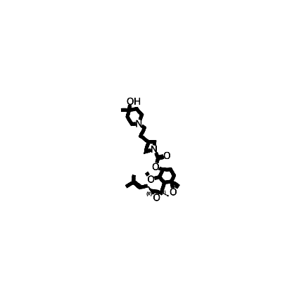 COC1C(OC(=O)N2CC(CCN3CCC(C)(O)CC3)C2)CCC2(CO2)C1[C@@]1(C)O[C@@H]1CC=C(C)C